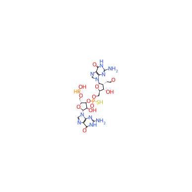 Nc1nc2c(ncn2[C@@H]2O[C@H](COPO)[C@@H](O[P@](=O)(S)OC[C@H]3O[C@@H](n4cnc5c(=O)[nH]c(N)nc54)[C@H](CC=O)[C@@H]3O)[C@H]2O)c(=O)[nH]1